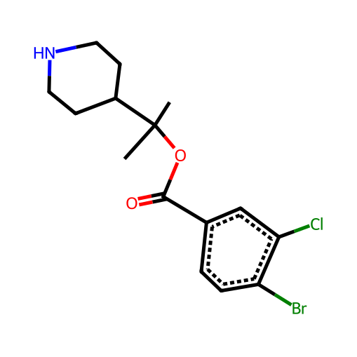 CC(C)(OC(=O)c1ccc(Br)c(Cl)c1)C1CCNCC1